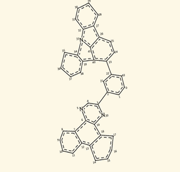 c1cc(-c2cnc3c4ccccc4c4ccccc4c3n2)cc(-c2ccc3c4ccccc4n4c5ccccc5c2c34)c1